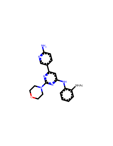 CC(=O)Nc1ccccc1Nc1cc(-c2ccc(N)nc2)nc(N2CCOCC2)n1